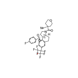 N#CC1(C(=O)N2CC[C@]3(S(=O)(=O)c4ccc(F)cc4)c4ccc(C(F)(C(F)(F)F)C(F)(F)F)cc4CC[C@H]23)CCOCC1